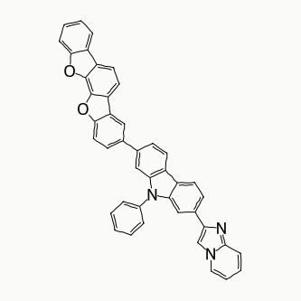 c1ccc(-n2c3cc(-c4ccc5oc6c(ccc7c8ccccc8oc76)c5c4)ccc3c3ccc(-c4cn5ccccc5n4)cc32)cc1